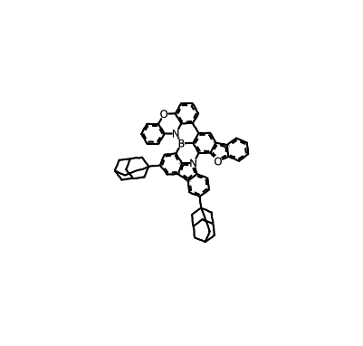 c1ccc2c(c1)Oc1cccc3c1N2B1c2c-3cc3c(oc4ccccc43)c2-n2c3ccc(C45CC6CC(CC(C6)C4)C5)cc3c3cc(C45CC6CC(CC(C6)C4)C5)cc1c32